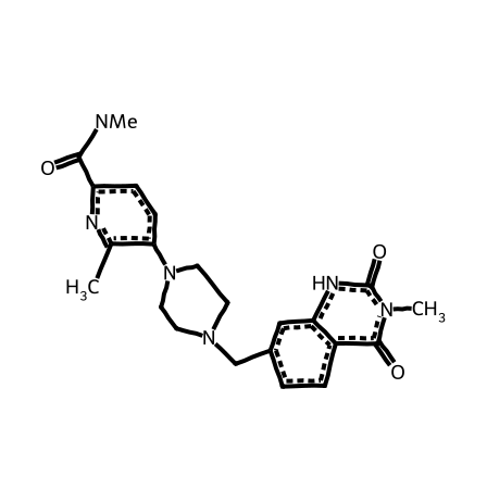 CNC(=O)c1ccc(N2CCN(Cc3ccc4c(=O)n(C)c(=O)[nH]c4c3)CC2)c(C)n1